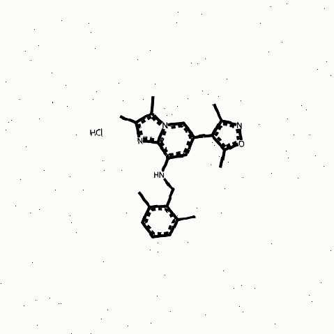 Cc1cccc(C)c1CNc1cc(-c2c(C)noc2C)cn2c(C)c(C)nc12.Cl